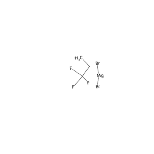 [Br][Mg][Br].[CH2]CC(F)(F)F